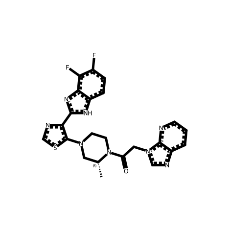 C[C@@H]1CN(c2scnc2-c2nc3c(F)c(F)ccc3[nH]2)CCN1C(=O)Cn1cnc2cccnc21